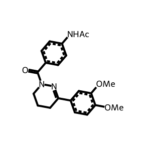 COc1ccc(C2=NN(C(=O)c3ccc(NC(C)=O)cc3)CCC2)cc1OC